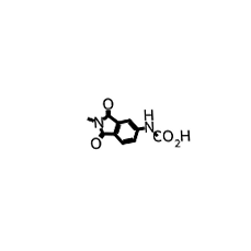 CN1C(=O)c2ccc(NC(=O)O)cc2C1=O